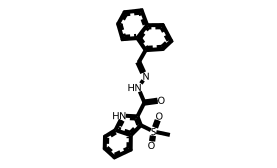 CS(=O)(=O)c1c(C(=O)NN=Cc2cccc3ccccc23)[nH]c2ccccc12